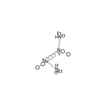 CCC(=O)NCCCCCCN1/C(=C/C2=CC3=C/C(=C/c4sc5cc(-c6ccccc6)ccc5[n+]4CCCCCCNC(=O)CC)CCC3CC2)Sc2cc(-c3ccccc3)ccc21